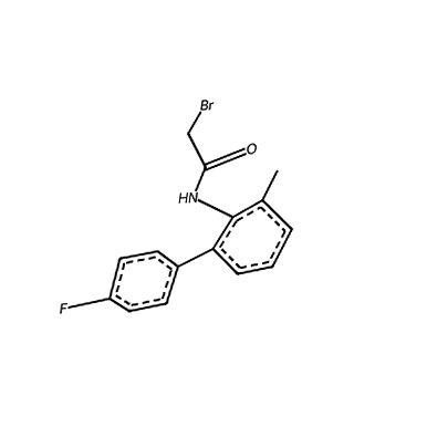 Cc1cccc(-c2ccc(F)cc2)c1NC(=O)CBr